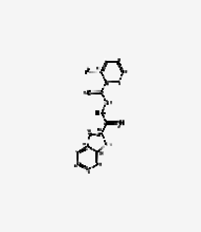 N=C(NOC(=O)c1ccccc1Cl)c1nc2ccccc2s1